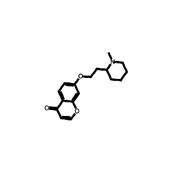 CN1CCCCC1CCOc1ccc2c(=O)ccoc2c1